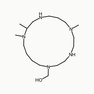 CC1CNCCCN(C)CCNCCN(CO)CCCCN1C